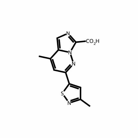 Cc1cc(-c2cc(C)c3cnc(C(=O)O)n3n2)sn1